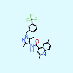 Cc1ccc2nc(C)cc(C(=O)Nc3c(C)nn(Cc4cccc(C(F)(F)F)c4)c3C)c2c1